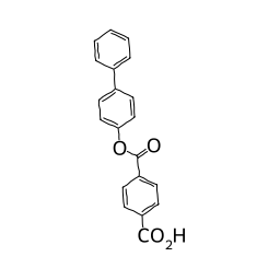 O=C(O)c1ccc(C(=O)Oc2ccc(-c3ccccc3)cc2)cc1